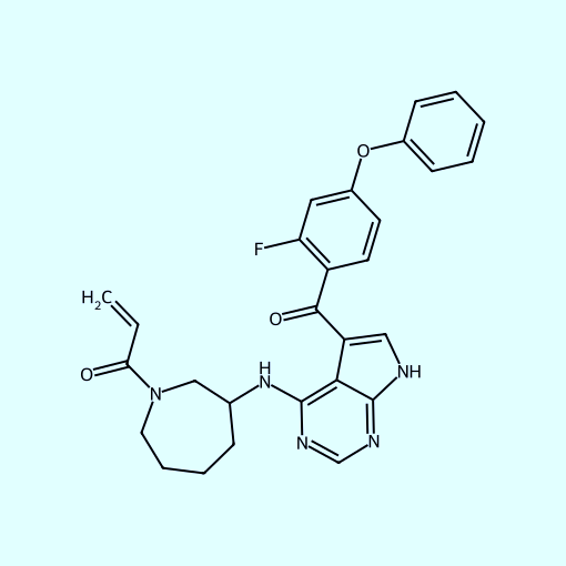 C=CC(=O)N1CCCCC(Nc2ncnc3[nH]cc(C(=O)c4ccc(Oc5ccccc5)cc4F)c23)C1